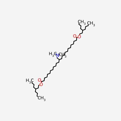 CCCCC(CCCC)CCOC(=O)CCCCCCCCCCCC(CCCCCCCCCCCC(=O)OCCC(CCCC)CCCC)CN(C)C